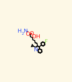 NCOC(=O)C[C@H](O)CC/C=C/c1c(C2CC2)nc2ccccc2c1-c1ccc(F)cc1